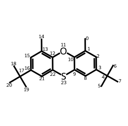 Cc1cc(C(C)(C)C)cc2c1Oc1c(C)cc(C(C)(C)C)cc1S2